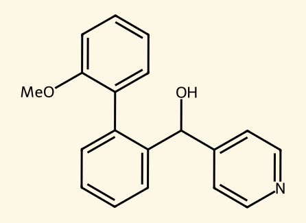 COc1ccccc1-c1ccccc1C(O)c1ccncc1